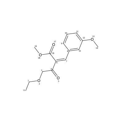 CCOCC(=O)C(=Cc1cccc(OC)c1)C(=O)OC